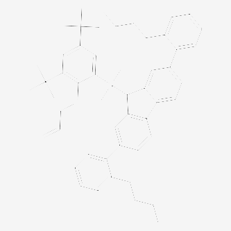 C=CCOc1c(C(C)(C)C)cc(C(C)(C)C)cc1[Si](C)(C)C1c2cc(-c3ccccc3CCCC)ccc2-c2ccc(-c3ccccc3CCCC)cc21